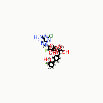 Nc1nc(Cl)nc2c1ncn2[C@@H]1O[C@@H]2C(OC(Cc3ccc(-c4cccc(F)c4O)cc3)(C(=O)O)C(=O)O)[C@]2(O)[C@@H]1F